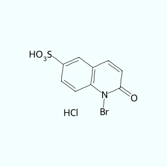 Cl.O=c1ccc2cc(S(=O)(=O)O)ccc2n1Br